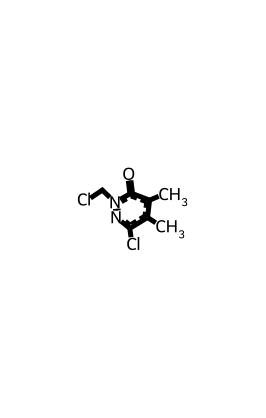 Cc1c(Cl)nn(CCl)c(=O)c1C